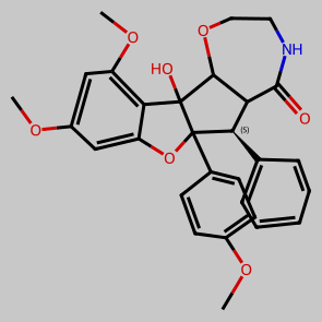 COc1ccc(C23Oc4cc(OC)cc(OC)c4C2(O)C2OCCNC(=O)C2[C@H]3c2ccccc2)cc1